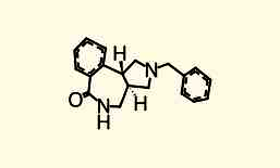 O=C1NC[C@@H]2CN(Cc3ccccc3)C[C@H]2c2ccccc21